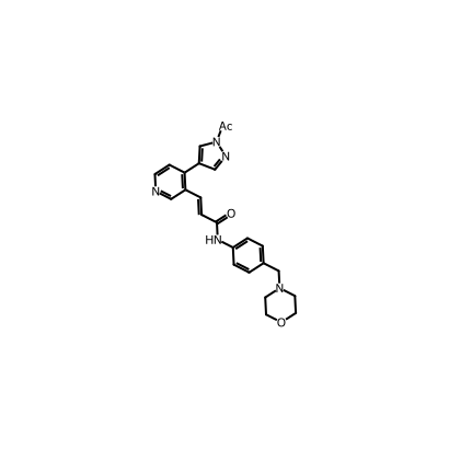 CC(=O)n1cc(-c2ccncc2C=CC(=O)Nc2ccc(CN3CCOCC3)cc2)cn1